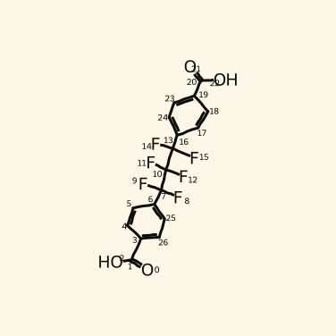 O=C(O)c1ccc(C(F)(F)C(F)(F)C(F)(F)c2ccc(C(=O)O)cc2)cc1